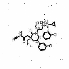 CC[C@@H](CN(C)S(=O)(=O)C1CC1)N1C(=O)[C@](C)(CC(=O)NC#N)C[C@H](c2cccc(Cl)c2)[C@H]1c1ccc(Cl)cc1